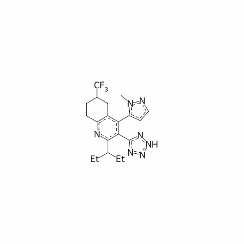 CCC(CC)c1nc2c(c(-c3ccnn3C)c1-c1nn[nH]n1)CC(C(F)(F)F)CC2